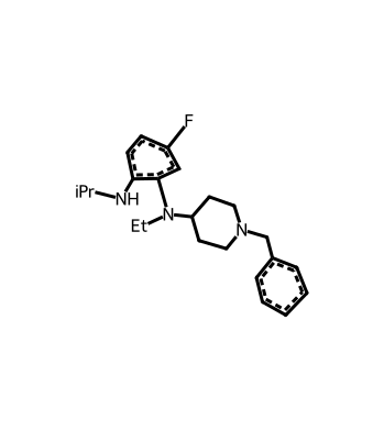 CCN(c1cc(F)ccc1NC(C)C)C1CCN(Cc2ccccc2)CC1